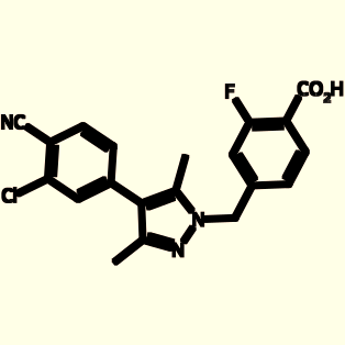 Cc1nn(Cc2ccc(C(=O)O)c(F)c2)c(C)c1-c1ccc(C#N)c(Cl)c1